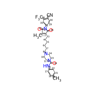 CC1=C(CCCCCCN2CCN(C(=O)Nc3ccc(C)cc3)CC2)C(=O)N(c2ccc(C#N)c(C(F)(F)F)c2)C1=O